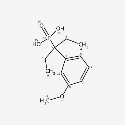 CCC(CC)(c1cccc(OC)c1)P(=O)(O)O